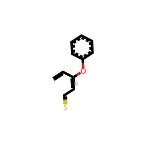 C=C/C(=C\C=S)Oc1ccccc1